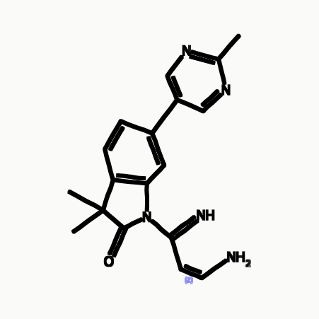 Cc1ncc(-c2ccc3c(c2)N(C(=N)/C=C\N)C(=O)C3(C)C)cn1